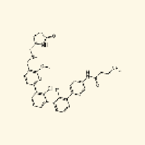 COc1nc(-c2cccc(-c3cccc(-c4ccc(NC(=O)CCN)cc4)c3Cl)c2Cl)ccc1CNC[C@@H]1CCC(=O)N1